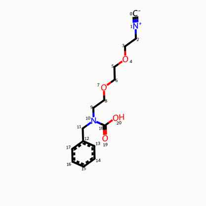 [C-]#[N+]CCOCCOCCN(Cc1ccccc1)C(=O)O